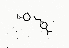 CO[C@H]1CC[C@H](CCCN2CCC(C(C)C)CC2)CC1